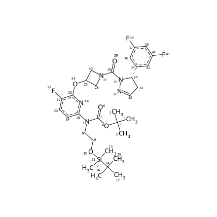 CC(C)(C)OC(=O)N(CCO[Si](C)(C)C(C)(C)C)c1ccc(F)c(OC2CN(C(=O)N3N=CC[C@H]3c3cc(F)cc(F)c3)C2)n1